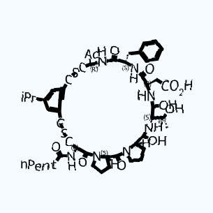 CCCCCC(=O)N[C@H]1CSCc2cc(cc(C(C)C)c2)CSC[C@@H](C(C)=O)NC(=O)[C@H](Cc2ccccc2)NC(=O)[C@@H](CC(=O)O)NC(O)[C@H]([C@@H](C)O)NC(O)[C@@H]2CCCN2C(=O)[C@@H]2CCCN2C1=O